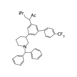 CC(=O)C(CC(C)C)c1cc(-c2ccc(C(F)(F)F)cc2)cc(C2CCCN(C(c3ccccc3)c3ccccc3)C2)c1